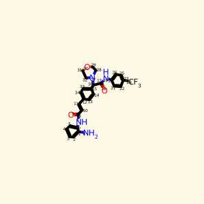 Nc1ccccc1NC(=O)C=Cc1ccc(C(C(=O)Nc2ccc(C(F)(F)F)cc2)N2CCOCC2)cc1